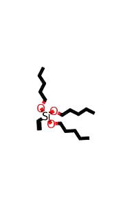 C=C[Si](OCCCCC)(OCCCCC)OCCCCC